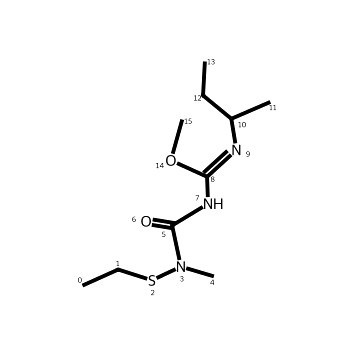 CCSN(C)C(=O)NC(=NC(C)CC)OC